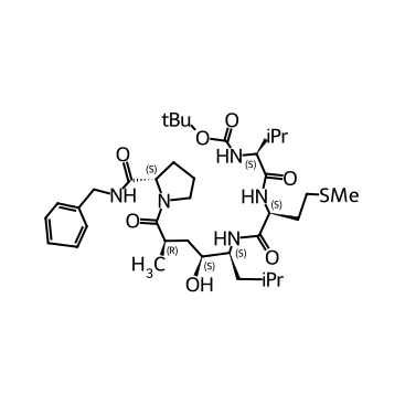 CSCC[C@H](NC(=O)[C@@H](NC(=O)OC(C)(C)C)C(C)C)C(=O)N[C@@H](CC(C)C)[C@@H](O)C[C@@H](C)C(=O)N1CCC[C@H]1C(=O)NCc1ccccc1